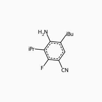 CCC(C)c1cc(C#N)c(F)c(C(C)C)c1N